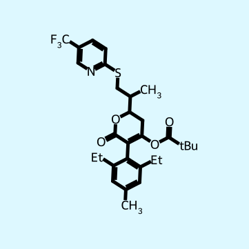 CCc1cc(C)cc(CC)c1C1=C(OC(=O)C(C)(C)C)CC(C(C)CSc2ccc(C(F)(F)F)cn2)OC1=O